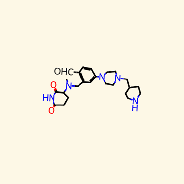 CN(Cc1cc(N2CCN(CC3CCNCC3)CC2)ccc1C=O)C1CCC(=O)NC1=O